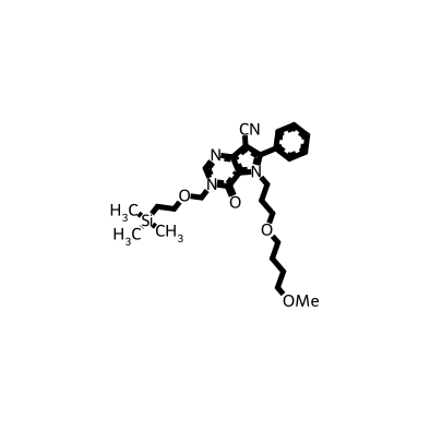 COCCCCOCCCn1c(-c2ccccc2)c(C#N)c2ncn(COCC[Si](C)(C)C)c(=O)c21